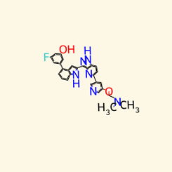 CN(C)CCOc1cncc(-c2ccc3[nH]nc(-c4cc5c(-c6cc(O)cc(F)c6)cccc5[nH]4)c3n2)c1